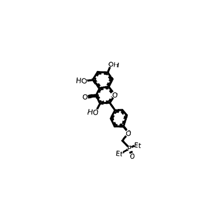 CCP(=O)(CC)COc1ccc(-c2oc3cc(O)cc(O)c3c(=O)c2O)cc1